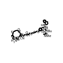 C=C1/C=C(F)\C=C/CC(=O)N(C)Cc2nn(CCNC(=O)CCOCCOCCOc3ccc4c(c3)CN(C(=O)[C@@H](NC(=O)[C@H](C)NC)C(C)(C)C)[C@H](C(=O)N[C@@H]3CCCc5ccccc53)C4)c(C#N)c2-c2cnc(N)c(n2)N2CCC[C@H]12